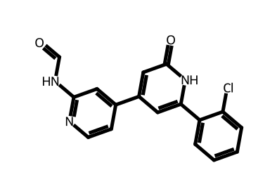 O=CNc1cc(-c2cc(-c3ccccc3Cl)[nH]c(=O)c2)ccn1